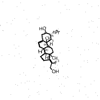 CCC[C@@H]1C[C@@]2(C)C(=CC[C@@H]3[C@@H]2CC[C@]2(C)C(=C(F)CO)CC[C@@H]32)C[C@H]1O